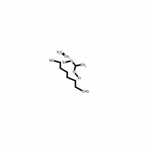 C=C.CCOC(C)OCC.N#CCCCCCCC=O